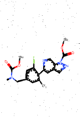 CN(Cc1cc(F)c(-c2cc3cnn(C(=O)OC(C)(C)C)c3cn2)c(C(F)(F)F)c1)C(=O)OC(C)(C)C